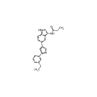 CCC(=O)Nc1c[nH]c2ccc(-c3cnn(-c4cccc(CC)c4)c3)cc12